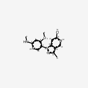 CNc1cc(OC)c(-n2nc(C)c3cnc(Cl)cc32)cn1